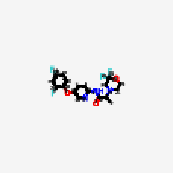 CC(C(=O)Nc1ccc(Oc2ccc(F)cc2F)cn1)N1CCOC(F)(F)C1